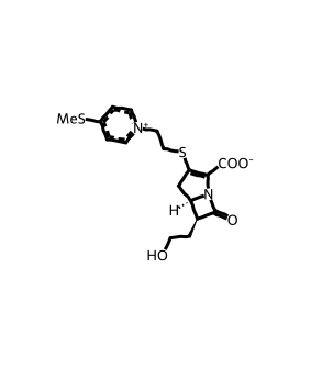 CSc1cc[n+](CCSC2=C(C(=O)[O-])N3C(=O)[C@@H](CCO)[C@H]3C2)cc1